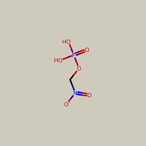 O=[N+]([O-])COP(=O)(O)O